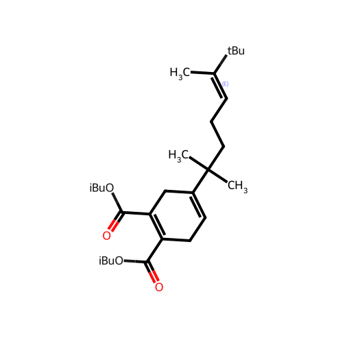 C/C(=C\CCC(C)(C)C1=CCC(C(=O)OCC(C)C)=C(C(=O)OCC(C)C)C1)C(C)(C)C